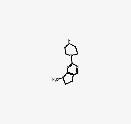 CN1CCc2cnc(N3CCNCC3)nc21